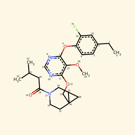 CCc1ccc(Oc2ncnc(OCC34CCN(C(=O)CC(C)C)CC3C4)c2OC)c(F)c1